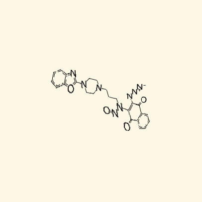 [N-]=[N+]=NC1=C(N(CCCN2CCN(c3nc4ccccc4o3)CC2)N=O)C(=O)c2ccccc2C1=O